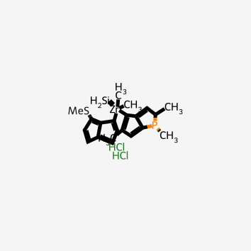 CSC1=C2C(=CC=[C]2[Zr]([CH3])([CH3])(=[SiH2])[C]2=C(C)C=C3C2=CC(C)P3C)C=C1.Cl.Cl